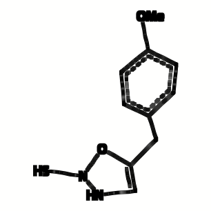 COc1ccc(CC2=CNN(S)O2)cc1